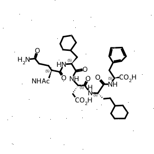 CC(=O)N[C@@H](CCC(N)=O)C(=O)N[C@@H](CC1CCCCC1)C(=O)N[C@@H](CC(=O)O)C(=O)N[C@@H](CCC1CCCCC1)C(=O)N[C@@H](Cc1ccccc1)C(=O)O